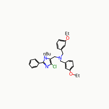 CCCCn1c(-c2ccccc2)nc(Cl)c1CN(Cc1cccc(OCC)c1)Cc1cccc(OCC)c1